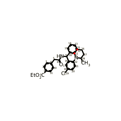 CCOC(=O)c1ccc(CC(=O)NC(c2ccccc2)c2cc(Cl)ccc2N2CCCCC2C)cc1